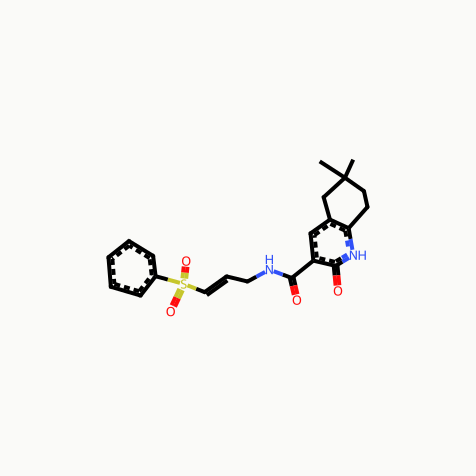 CC1(C)CCc2[nH]c(=O)c(C(=O)NC/C=C/S(=O)(=O)c3ccccc3)cc2C1